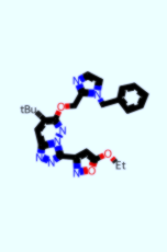 CCOc1cc(-c2nnc3cc(C(C)(C)C)c(OCc4nccn4Cc4ccccc4)nn23)no1